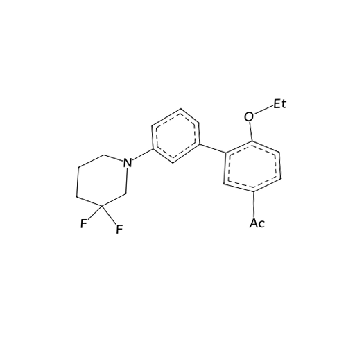 CCOc1ccc(C(C)=O)cc1-c1cccc(N2CCCC(F)(F)C2)c1